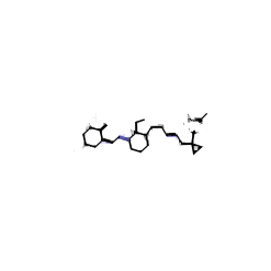 C=C1/C(=C\C=C2/CCC[C@]3(C)[C@@H]([C@H](C)/C=C/[C@@H](O)C4(c5nnc(C)o5)CC4)CC[C@@H]23)C[C@@H](O)C[C@@H]1O